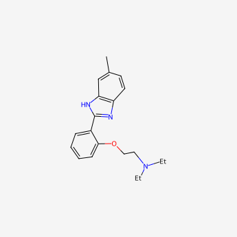 CCN(CC)CCOc1ccccc1-c1nc2ccc(C)cc2[nH]1